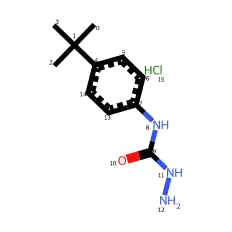 CC(C)(C)c1ccc(NC(=O)NN)cc1.Cl